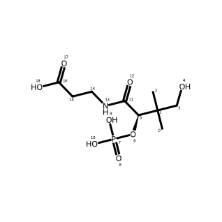 CC(C)(CO)[C@@H](OP(=O)(O)O)C(=O)NCCC(=O)O